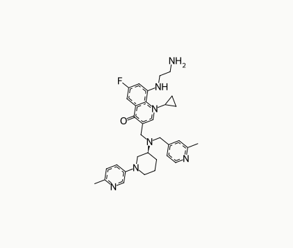 Cc1ccc(N2CCC[C@H](N(Cc3ccnc(C)c3)Cc3cn(C4CC4)c4c(NCCN)cc(F)cc4c3=O)C2)cn1